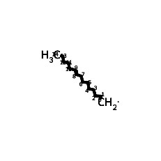 [CH2]CCCCCCC/C=C/CCCCC